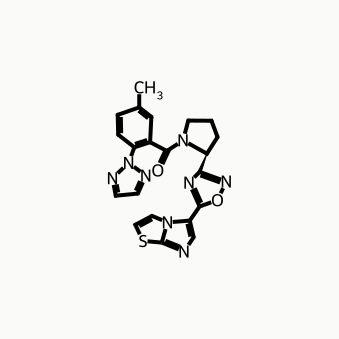 Cc1ccc(-n2nccn2)c(C(=O)N2CCC[C@H]2c2noc(-c3cnc4sccn34)n2)c1